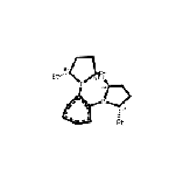 CC[C@@H]1CC[C@@H](CC)P1c1ccccc1P1[C@@H](CC)CC[C@@H]1CC